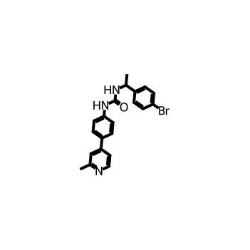 Cc1cc(-c2ccc(NC(=O)NC(C)c3ccc(Br)cc3)cc2)ccn1